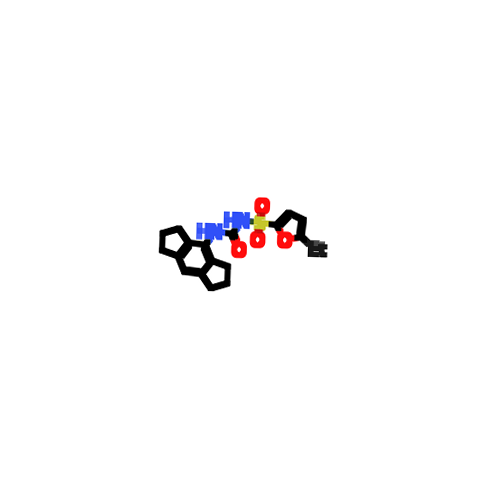 CCc1ccc(S(=O)(=O)NC(=O)Nc2c3c(cc4c2CCC4)CCC3)o1